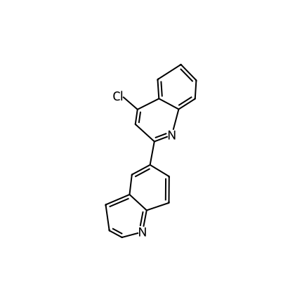 Clc1cc(-c2ccc3ncccc3c2)nc2ccccc12